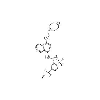 O=C(Nc1ccc(OCCN2CCOCC2)c2ccccc12)c1cc(C(F)(F)F)ccc1C(F)(F)F